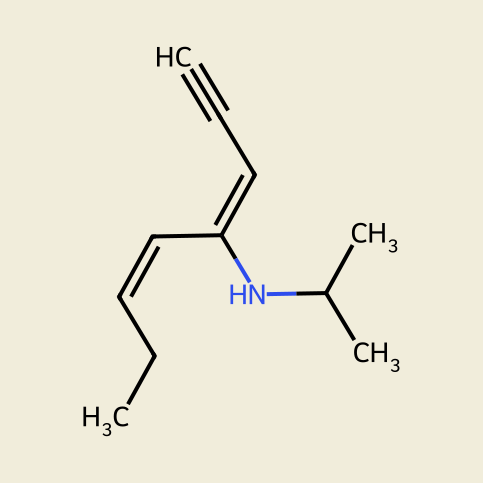 C#C/C=C(\C=C/CC)NC(C)C